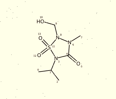 CC(C)N1C(=O)N(C)N(CO)S1(=O)=O